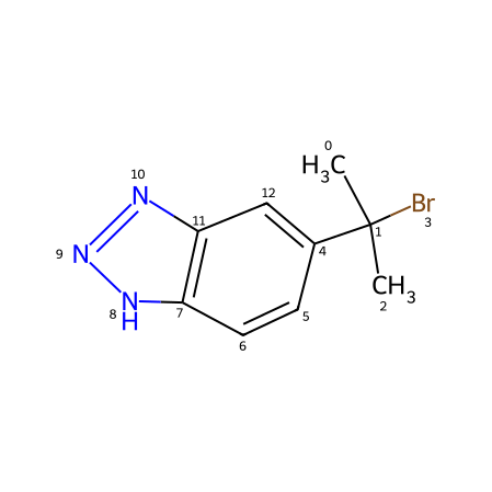 CC(C)(Br)c1ccc2[nH]nnc2c1